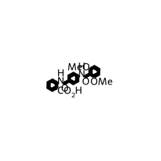 COc1cccc(OC)c1C(=O)Nc1ccc(C(=O)Nc2ccccc2C(=O)O)cc1